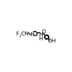 O=C(NCC1CCN(CCNC(F)(F)F)CC1)c1ccc(O)cc1